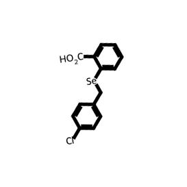 O=C(O)c1ccccc1[Se]Cc1ccc(Cl)cc1